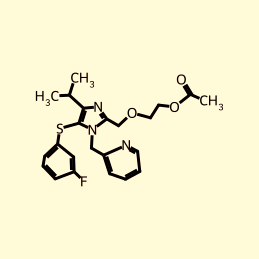 CC(=O)OCCOCc1nc(C(C)C)c(Sc2cccc(F)c2)n1Cc1ccccn1